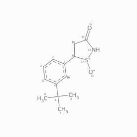 CC(C)(C)c1cccc(C2CC(=O)N[S+]2[O-])c1